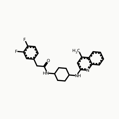 Cc1cc(NC2CCC(NC(=O)Cc3ccc(F)c(F)c3)CC2)nc2ccccc12